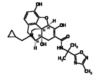 Cc1noc(C(C)(C)NC(=O)C2=C(O)[C@@H]3Oc4c(O)ccc5c4[C@@]34CCN(CC3CC3)[C@H](C5)[C@]4(O)C2)n1